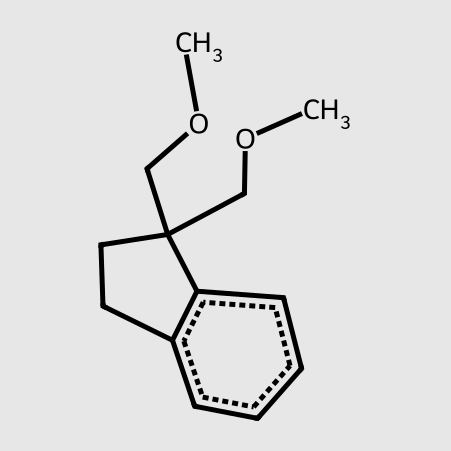 COCC1(COC)CCc2ccccc21